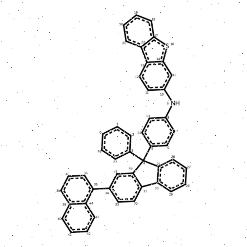 c1ccc(C2(c3ccc(Nc4ccc5c(c4)sc4ccccc45)cc3)c3ccccc3-c3ccc(-c4cccc5ccccc45)cc32)cc1